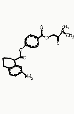 CN(C)C(=O)COC(=O)c1ccc(OC(=O)C2CCCc3ccc(N)cc32)cc1